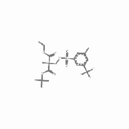 CCOC(=O)C(C)(COS(=O)(=O)c1cc(C)cc(C(F)(F)F)c1)C(=O)OC(C)(C)C